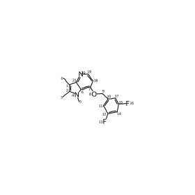 Cc1c(C)n(C)c2c(OCc3cc(F)cc(F)c3)ccnc12